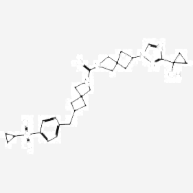 O=C(N1CC2(CC(Cc3ccc(S(=O)(=O)C4CC4)cc3)C2)C1)N1CC2(CC(n3cnc(C4(O)CC4)n3)C2)C1